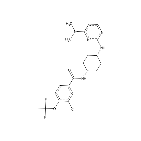 CN(C)c1ccnc(N[C@H]2CC[C@@H](NC(=O)c3ccc(OC(F)(F)F)c(Cl)c3)CC2)n1